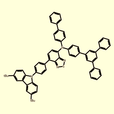 CC(C)(C)c1ccc2c(c1)c1cc(C(C)(C)C)ccc1n2-c1ccc(-c2ccc(N(c3ccc(-c4ccccc4)cc3)c3ccc(-c4cc(-c5ccccc5)cc(-c5ccccc5)c4)cc3)c3nsnc23)cc1